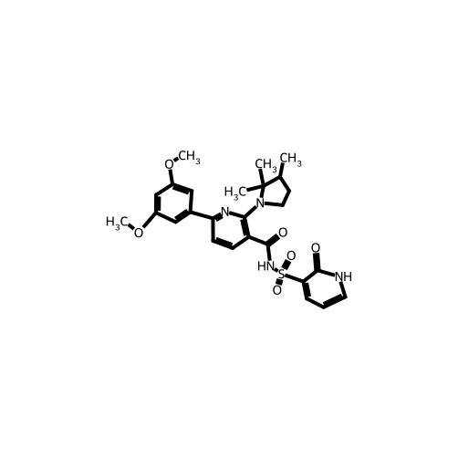 COc1cc(OC)cc(-c2ccc(C(=O)NS(=O)(=O)c3ccc[nH]c3=O)c(N3CCC(C)C3(C)C)n2)c1